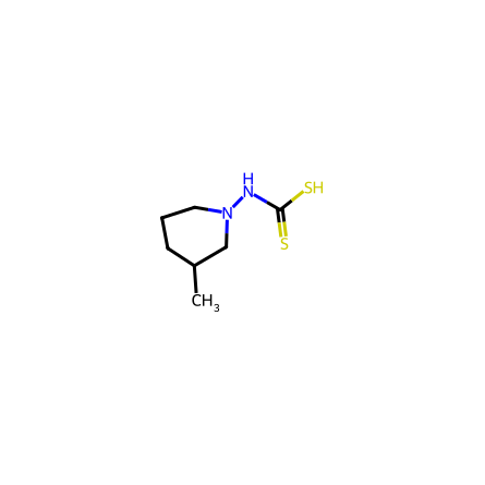 CC1CCCN(NC(=S)S)C1